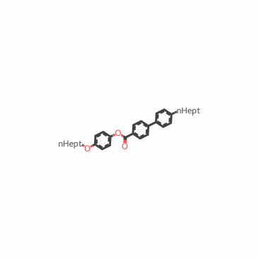 CCCCCCCOc1ccc(OC(=O)c2ccc(-c3ccc(CCCCCCC)cc3)cc2)cc1